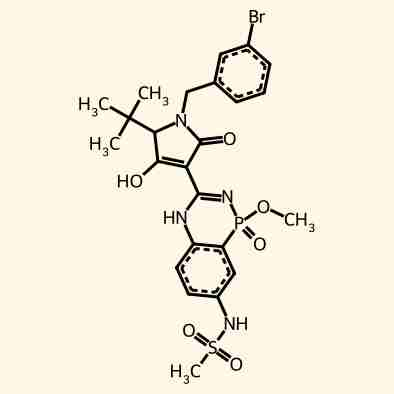 COP1(=O)N=C(C2=C(O)C(C(C)(C)C)N(Cc3cccc(Br)c3)C2=O)Nc2ccc(NS(C)(=O)=O)cc21